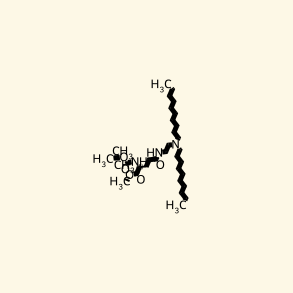 CCCCCCCCCCN(CCCCCCCCCC)CCNC(=O)CC[C@H](NC(=O)OC(C)(C)C)C(=O)OC